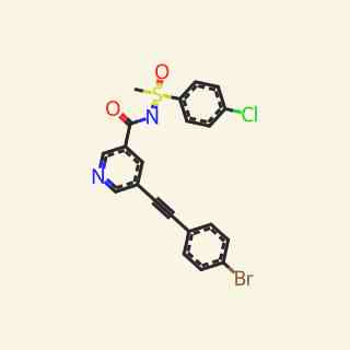 CS(=O)(=NC(=O)c1cncc(C#Cc2ccc(Br)cc2)c1)c1ccc(Cl)cc1